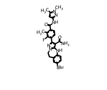 Cc1c(C(=O)Nc2cc(C)n(C)n2)ccc(-c2nn3c(c2C(N)=O)Nc2ccc(C(C)(C)C)cc2CC3)c1F